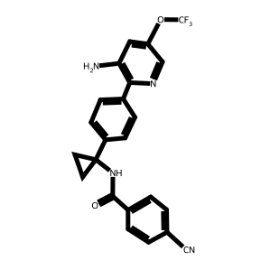 N#Cc1ccc(C(=O)NC2(c3ccc(-c4ncc(OC(F)(F)F)cc4N)cc3)CC2)cc1